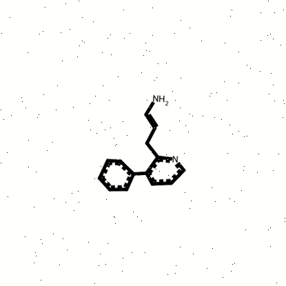 NC=CCc1ncccc1-c1ccccc1